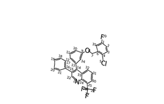 Fc1ccc(Cl)c(COc2cccc(-c3c(-c4ccccc4)cnc4c(C(F)(F)F)cccc34)c2)c1